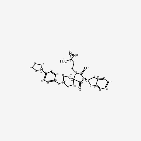 CC1(CCN2C(=O)N(C3Cc4ccccc4C3)C(=O)C23CCN(Cc2ccc(N4CCCC4)cc2)CC3)N=N1